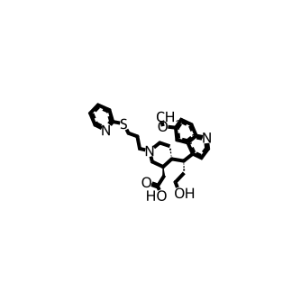 COc1ccc2nccc([C@H](CCO)[C@H]3CCN(CCCSc4ccccn4)C[C@@H]3CC(=O)O)c2c1